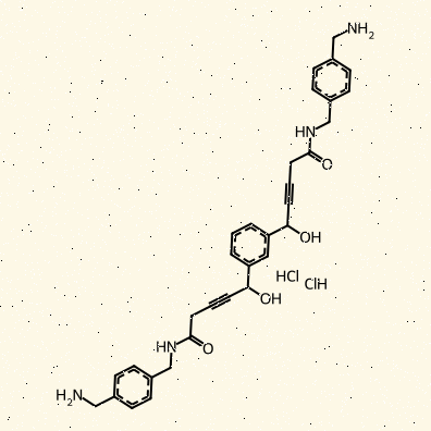 Cl.Cl.NCc1ccc(CNC(=O)CC#CC(O)c2cccc(C(O)C#CCC(=O)NCc3ccc(CN)cc3)c2)cc1